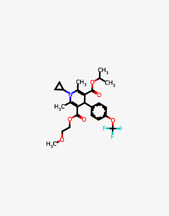 COCCOC(=O)C1=C(C)N(C2CC2)C(C)=C(C(=O)OC(C)C)C1c1ccc(OC(F)(F)F)cc1